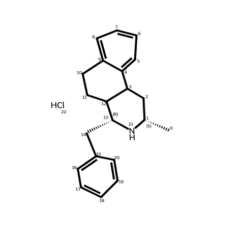 C[C@H]1CC2c3ccccc3CCC2[C@@H](Cc2ccccc2)N1.Cl